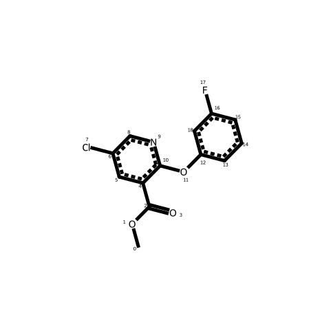 COC(=O)c1cc(Cl)cnc1Oc1cccc(F)c1